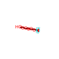 OCCOCCOCCOCCOCCOCCCC(F)(C(F)(F)F)C(F)(F)F